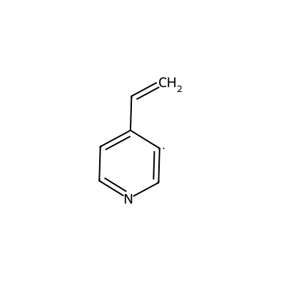 C=Cc1[c]cncc1